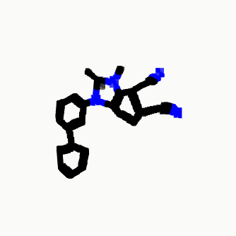 C[C@H]1N(C)c2c(ccc(C#N)c2C#N)N1c1cccc(-c2ccccc2)c1